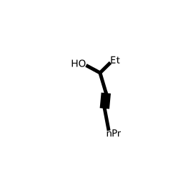 CCCC#CC(O)CC